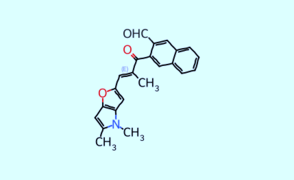 C/C(=C\c1cc2c(cc(C)n2C)o1)C(=O)c1cc2ccccc2cc1C=O